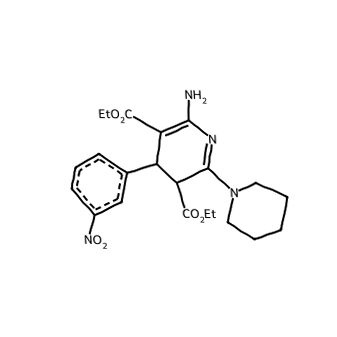 CCOC(=O)C1=C(N)N=C(N2CCCCC2)C(C(=O)OCC)C1c1cccc([N+](=O)[O-])c1